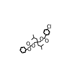 CC(C)CC(COC(=O)Oc1ccccc1)(COC(=O)c1ccc(Cl)cc1)CC(C)C